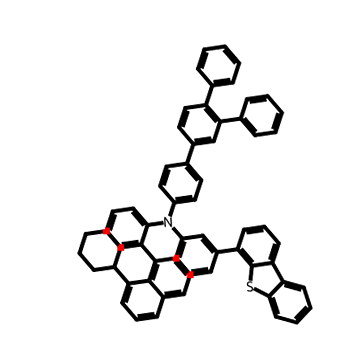 c1ccc(-c2ccc(-c3ccc(N(c4cccc(-c5cccc6c5sc5ccccc56)c4)c4ccccc4-c4cccc5cccc(C6CCCCC6)c45)cc3)cc2-c2ccccc2)cc1